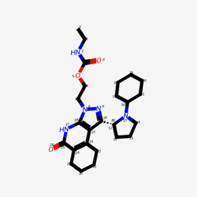 CCNC(=O)OCCn1nc([C@H]2CCCN2C2CCCCC2)c2c3c(c(=O)[nH]c21)CCCC3